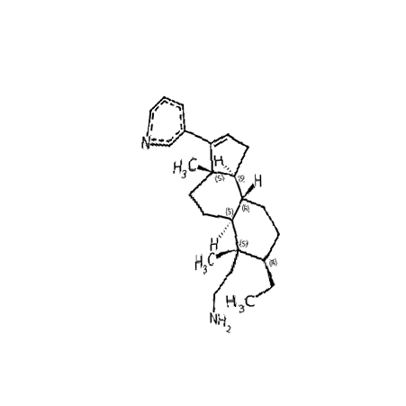 CC[C@@H]1CC[C@@H]2[C@H](CC[C@]3(C)C(c4cccnc4)=CC[C@@H]23)[C@@]1(C)CCN